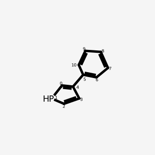 [c]1[pH]ccc1-c1ccccc1